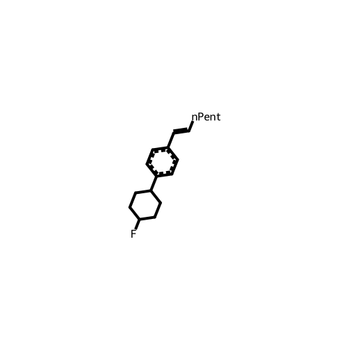 CCCCC/C=C/c1ccc(C2CCC(F)CC2)cc1